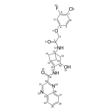 O=C(COc1ccc(Cl)c(F)c1)NC12CC(=C(NC(=O)c3cnc4ccccc4n3)C(O)C1)C2